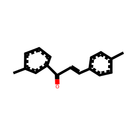 Cc1ccc(C=CC(=O)c2cccc(C)c2)cc1